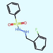 O=S(=O)(NNCc1ccccc1F)c1ccccc1